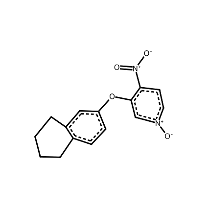 O=[N+]([O-])c1cc[n+]([O-])cc1Oc1ccc2c(c1)CCCC2